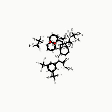 COC(=O)[C@@H](O[C@@H]1CC[C@@H]2N(Cc3ccccc3)[C@@]1(c1ccccc1)C[C@@]2(C(=O)O)C(=O)OC(C)(C)C)c1cc(C(F)(F)F)cc(C(F)(F)F)c1.O=C(O)C(F)(F)F